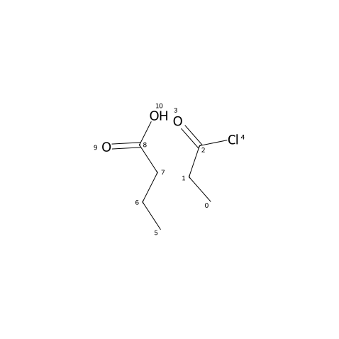 CCC(=O)Cl.CCCC(=O)O